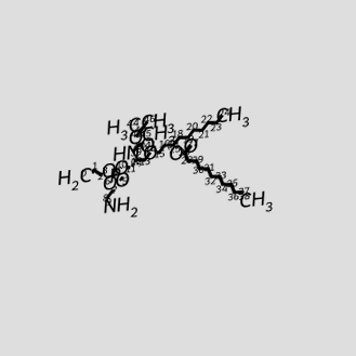 C=CCOP(=O)(OCCN)OC[C@@H](COCC[C@@H](CCCCCCC)OC(=O)CCCCCCCCCCC)NC(=O)OC(C)(C)C